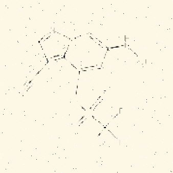 CNc1cc(OS(=O)(=O)C(F)(F)F)c2c(C#N)cnn2c1